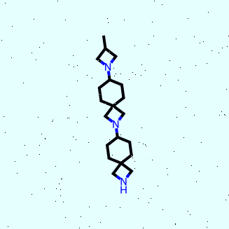 CC1CN(C2CCC3(CC2)CN(C2CCC4(CC2)CNC4)C3)C1